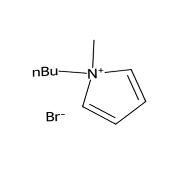 CCCC[N+]1(C)C=CC=C1.[Br-]